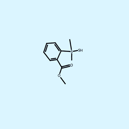 COC(=O)c1ccccc1S(C)(C)S